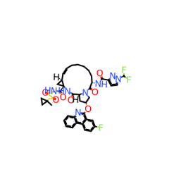 CC1(S(=O)(=O)NC(=O)[C@@]23C[C@H]2/C=C\CCCCC[C@H](NC(=O)c2ccn(C(F)F)n2)C(=O)N2C[C@H](Oc4nc5ccccc5c5ccc(F)cc45)C[C@H]2C(=O)N3)CC1